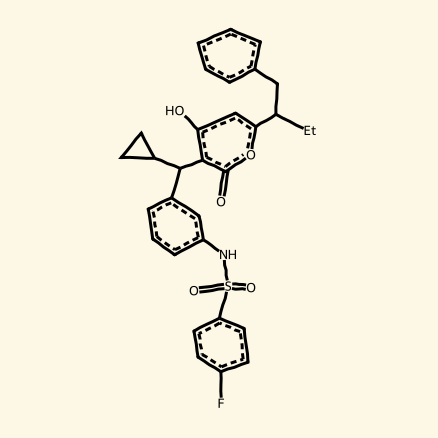 CCC(Cc1ccccc1)c1cc(O)c(C(c2cccc(NS(=O)(=O)c3ccc(F)cc3)c2)C2CC2)c(=O)o1